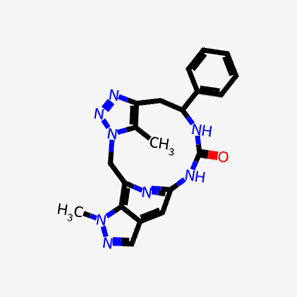 Cc1c2nnn1Cc1nc(cc3cnn(C)c13)NC(=O)NC(c1ccccc1)C2